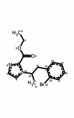 CCOC(=O)c1nccn1C(C)Cc1ccccc1Br